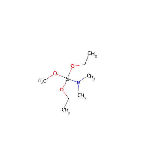 CCO[Si](OC)(OCC)N(C)C